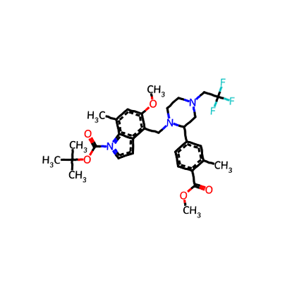 COC(=O)c1ccc(C2CN(CC(F)(F)F)CCN2Cc2c(OC)cc(C)c3c2ccn3C(=O)OC(C)(C)C)cc1C